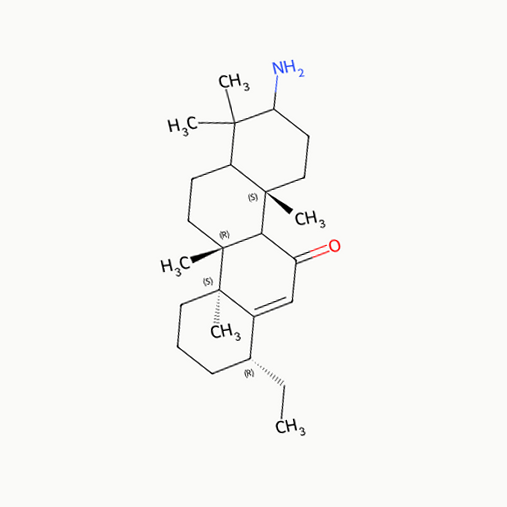 CC[C@@H]1CCC[C@]2(C)C1=CC(=O)C1[C@@]3(C)CCC(N)C(C)(C)C3CC[C@]12C